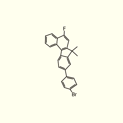 CC1(C)c2cc(-c3ccc(Br)cc3)ccc2-c2c1cc(F)c1ccccc21